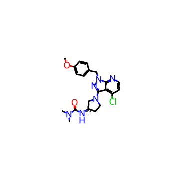 COc1ccc(Cn2nc(N3CC[C@@H](NC(=O)N(C)C)C3)c3c(Cl)ccnc32)cc1